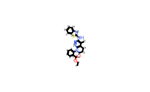 CCOC(=O)c1ccccc1N1CCCc2c1nnc(Nc1nc3ccccc3s1)c2C